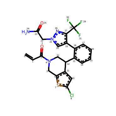 C=CC(=O)N1Cc2sc(Cl)cc2C(c2ccccc2-c2cn(CC(N)=O)nc2C(F)(F)F)C1